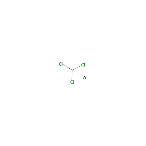 Cl[C](Cl)Cl.[Zr]